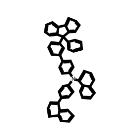 c1ccc(C2(c3cccc(-c4ccc(N(c5ccc(-c6cccc7ccccc67)cc5)c5cccc6ccccc56)cc4)c3)c3ccccc3-c3ccccc32)cc1